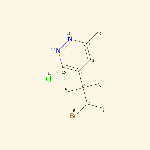 Cc1cc(C(C)(C)C(C)Br)c(Cl)nn1